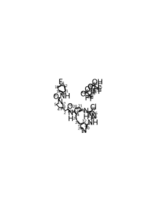 O=C(C[C@H]1CCN(C(=O)Nc2ccc(F)cc2)C1)Nc1ccc2cc1CCc1cncc(c1)Nc1ncc(Cl)c(n1)N2.O=C(O)C(F)(F)F.O=C(O)C(F)(F)F